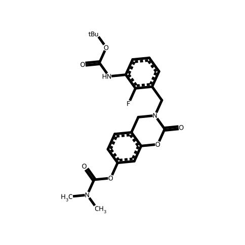 CN(C)C(=O)Oc1ccc2c(c1)OC(=O)N(Cc1cccc(NC(=O)OC(C)(C)C)c1F)C2